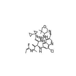 C=C(/C(C)=N\C(F)=C/C)[C@H](Nc1cc(Cl)c2ncc(C#N)c(N[C@@H]3CCOCC3(C)C)c2c1)C1=CN(C2(C3CC3)CC2)NN1